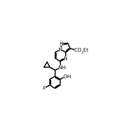 CCOC(=O)c1cnn2ccc(NC(c3cc(F)ccc3O)C3CC3)nc12